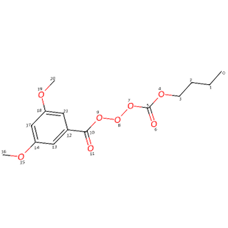 CCCCOC(=O)OOOC(=O)c1cc(OC)cc(OC)c1